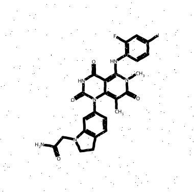 Cc1c(=O)n(C)c(Nc2ccc(I)cc2F)c2c(=O)[nH]c(=O)n(-c3ccc4c(c3)N(CC(N)=O)CC4)c12